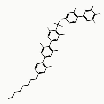 CCCCCCCCc1ccc(-c2cc(F)c(-c3cc(F)c(C(F)(F)Oc4ccc(-c5cc(F)c(F)c(F)c5)c(F)c4)c(F)c3)c(Cl)c2)c(F)c1